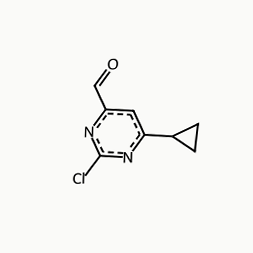 O=Cc1cc(C2CC2)nc(Cl)n1